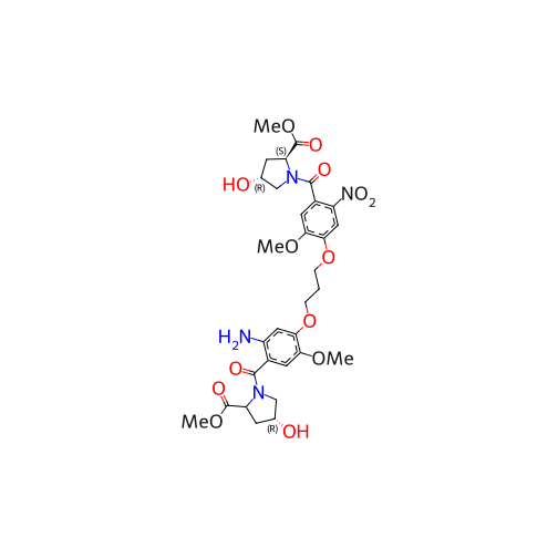 COC(=O)C1C[C@@H](O)CN1C(=O)c1cc(OC)c(OCCCOc2cc([N+](=O)[O-])c(C(=O)N3C[C@H](O)C[C@H]3C(=O)OC)cc2OC)cc1N